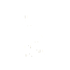 CC(C)Cc1c(S(C)(=O)=O)coc1C(=O)NC(=N)N